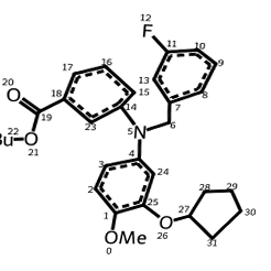 COc1ccc(N(Cc2cccc(F)c2)c2cccc(C(=O)OC(C)(C)C)c2)cc1OC1CCCC1